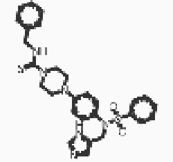 O=S(=O)(c1ccccc1)N(Cc1cnc[nH]1)c1ccc(N2CCN(C(=S)NCc3ccccc3)CC2)cc1